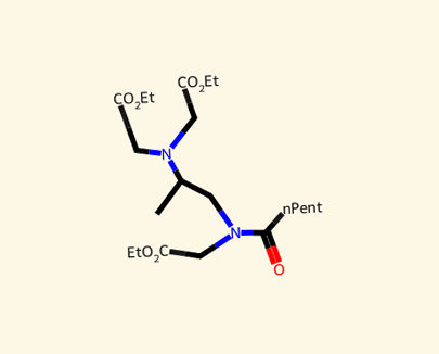 CCCCCC(=O)N(CC(=O)OCC)CC(C)N(CC(=O)OCC)CC(=O)OCC